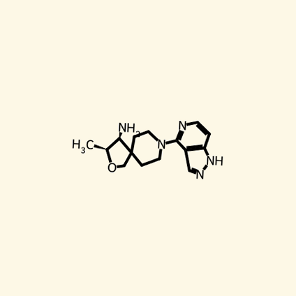 C[C@@H]1OCC2(CCN(c3nccc4[nH]ncc34)CC2)[C@@H]1N